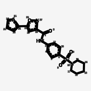 O=C(Nc1ccc(S(=O)(=O)N2CCCCC2)cc1)c1cc(-c2cccs2)on1